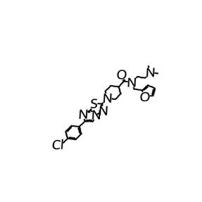 CN(C)CCN(Cc1ccco1)C(=O)C1CCN(c2nn3cc(-c4ccc(Cl)cc4)nc3s2)CC1